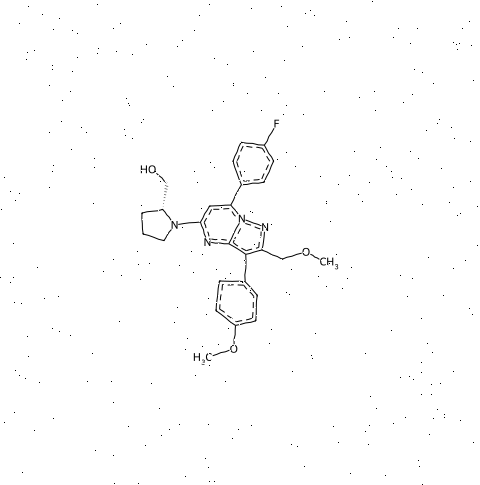 COCc1nn2c(-c3ccc(F)cc3)cc(N3CCC[C@@H]3CO)nc2c1-c1ccc(OC)cc1